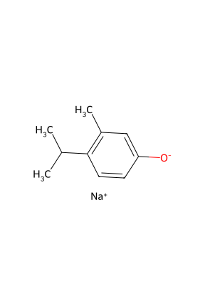 Cc1cc([O-])ccc1C(C)C.[Na+]